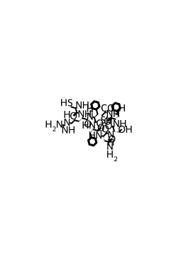 N=C(N)NCCC[C@H](NC(=O)[C@@H](N)CS)C(=O)N[C@@H](Cc1ccccc1)C(=O)N[C@@H](Cc1ccccc1)C(=O)N[C@@H](CC(N)=O)C(=O)N[C@@H](CO)C(=O)N[C@@H](Cc1ccccc1)C(=O)N[C@@H](CS)C(=O)O